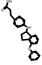 O=C(O)CCc1ccc(NC2CCc3c(Oc4ccccc4)cccc32)cc1